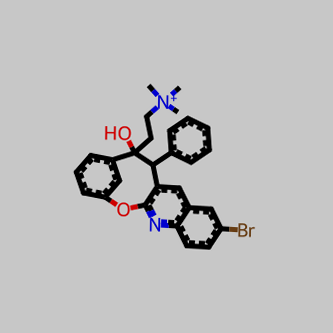 C[N+](C)(C)CCC1(O)c2cccc(c2)Oc2nc3ccc(Br)cc3cc2C1c1ccccc1